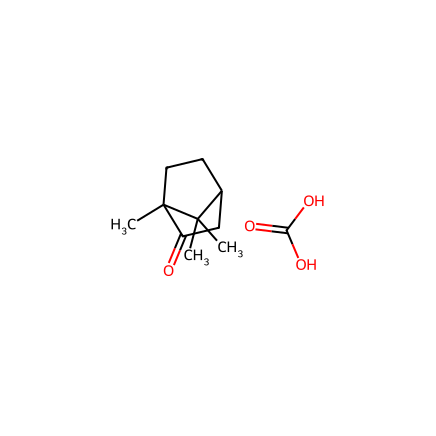 CC12CCC(CC1=O)C2(C)C.O=C(O)O